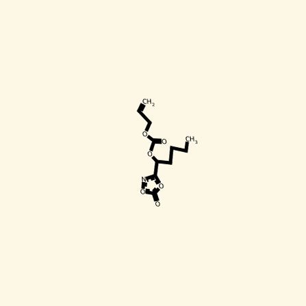 C=CCOC(=O)OC(CCCC)c1noc(=O)o1